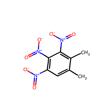 Cc1cc([N+](=O)[O-])c([N+](=O)[O-])c([N+](=O)[O-])c1C